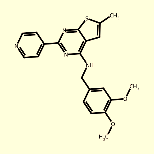 COc1ccc(CNc2nc(-c3ccncc3)nc3sc(C)cc23)cc1OC